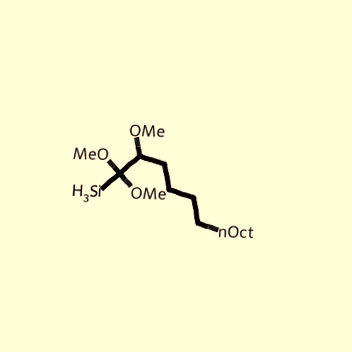 CCCCCCCCCCCCC(OC)C([SiH3])(OC)OC